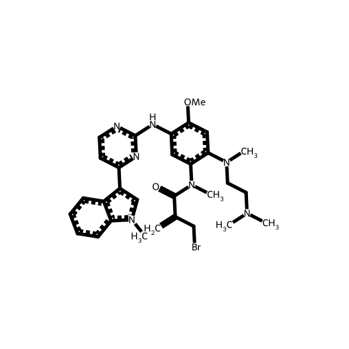 C=C(CBr)C(=O)N(C)c1cc(Nc2nccc(-c3cn(C)c4ccccc34)n2)c(OC)cc1N(C)CCN(C)C